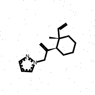 C=C[C@]1(C)CCCC[C@H]1C(=C)Cn1cccn1